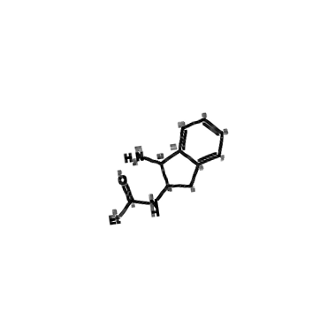 CCC(=O)NC1Cc2ccccc2C1N